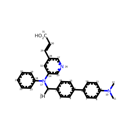 [2H]C(c1ccc(-c2ccc(N(C)C)cc2)cc1)N(c1ccccc1)c1cncc(/C=C/C(=O)O)c1